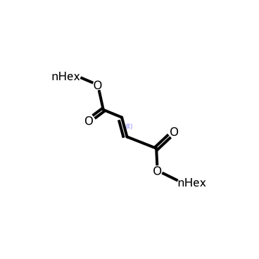 CCCCCCOC(=O)/C=C/C(=O)OCCCCCC